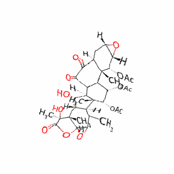 CC(=O)O[C@H]1C2C(C(=O)C(=O)[C@H]3C[C@@H]4O[C@@H]4[C@H](OC(C)=O)[C@]23C)[C@@H]2[C@@H](O)[C@@H]3[C@H](C(C)[C@H]4O[C@]45OC(=O)[C@@](C)(O)[C@]35C)[C@@]2(C)[C@H]1OC(C)=O